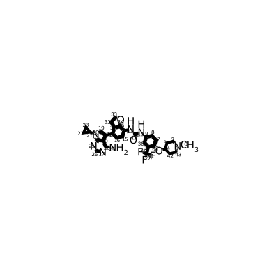 CN1CCC(Oc2ccc(NC(=O)Nc3ccc(-c4cn(C5CC5)c5ncnc(N)c45)c4ccoc34)cc2C(F)(F)F)CC1